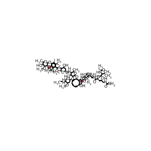 CCN[C@H]1CO[C@@H](O[C@H]2[C@H](O[C@H]3C#CC=CC#C[C@]4(O)CC(=O)C(NC(=O)OC)=C3/C4=C\CSSC(C)(C)CCNC(=O)[C@H](CCCNC(N)=O)NC(=O)[C@@H](NC(C)=O)C(C)C)O[C@H](C)[C@@H](NO[C@H]3C[C@H](O)[C@H](SC(=O)c4c(C)c(I)c(O[C@@H]5O[C@@H](C)[C@H](O)[C@@H](OC)[C@H]5O)c(OC)c4OC)[C@@H](C)O3)[C@@H]2O)C[C@@H]1OC